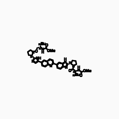 CC[C@H](C)[C@H](NC(=O)OC)C(=O)N1CCC[C@H]1c1nc2ccc(-c3ccc4cc(-c5cnc([C@@H]6CCCN6OC[C@@H](NC(=O)OC)[C@@H](C)CC)[nH]5)ccc4n3)cc2[nH]1